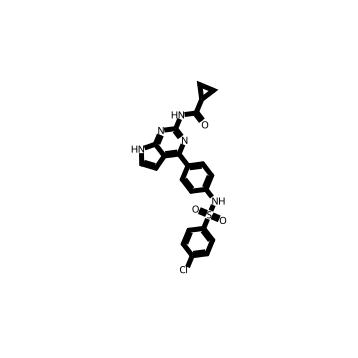 O=C(Nc1nc(-c2ccc(NS(=O)(=O)c3ccc(Cl)cc3)cc2)c2cc[nH]c2n1)C1CC1